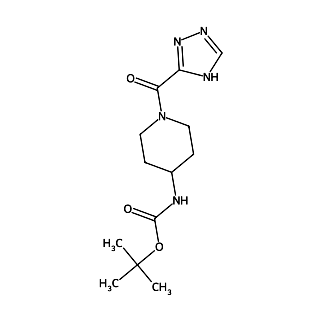 CC(C)(C)OC(=O)NC1CCN(C(=O)c2nnc[nH]2)CC1